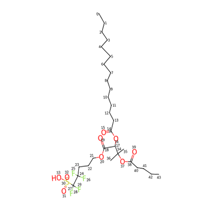 CCCCCCCCCCCCCCC(=O)OC(C(=O)OCCCC(F)(F)C(F)(F)S(=O)(=O)O)C(C)(C)OC(=O)CCCC